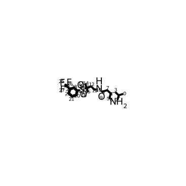 CC(C)C[C@H](CN)CC(=O)NCCC(C)(C)S(=O)(=O)c1cccc(C(F)(F)F)c1